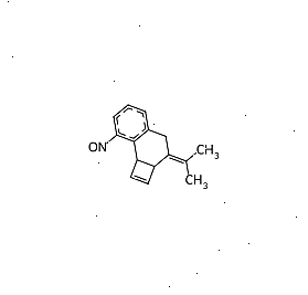 CC(C)=C1Cc2cccc(N=O)c2C2C=CC12